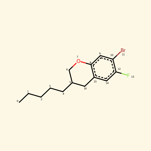 CCCCCC1COc2cc(Br)c(F)cc2C1